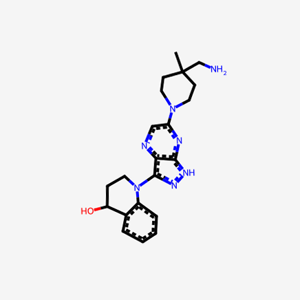 CC1(CN)CCN(c2cnc3c(N4CCC(O)c5ccccc54)n[nH]c3n2)CC1